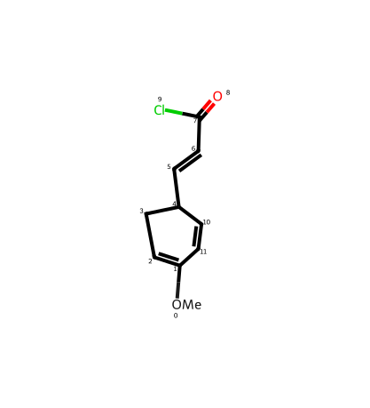 COC1=CCC(C=CC(=O)Cl)C=C1